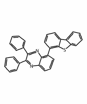 c1ccc(-c2nc3cccc(-c4cccc5c4sc4ccccc45)c3nc2-c2ccccc2)cc1